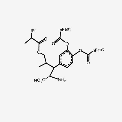 CCCCCC(=O)Oc1ccc(C(C(C)COC(=O)C(C)C(C)C)[C@H](N)C(=O)O)cc1OC(=O)CCCCC